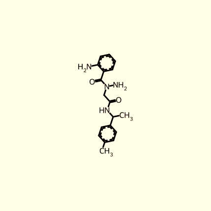 Cc1ccc(C(C)NC(=O)CN(N)C(=O)c2ccccc2N)cc1